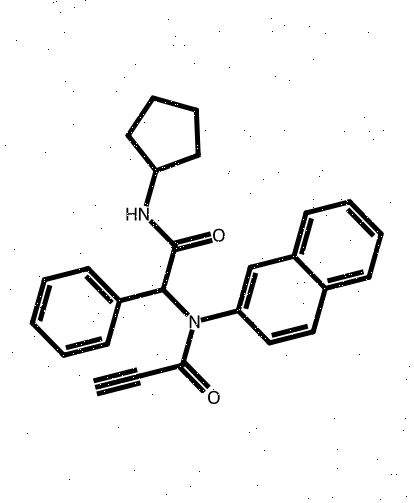 C#CC(=O)N(c1ccc2ccccc2c1)C(C(=O)NC1CCCC1)c1ccccc1